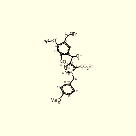 CCOC(=O)c1c(C(O)c2cc(OC(C)C)c(OC(C)C)cc2[N+](=O)[O-])nnn1Cc1ccc(OC)cc1